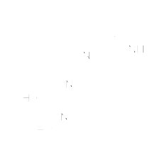 CNC(C)N1CCN(CC2CN2)CC1